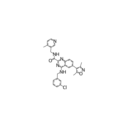 Cc1ccncc1CNC(=O)c1nc(NCc2cccc(Cl)c2)c2cc(-c3c(C)noc3C)ccc2n1